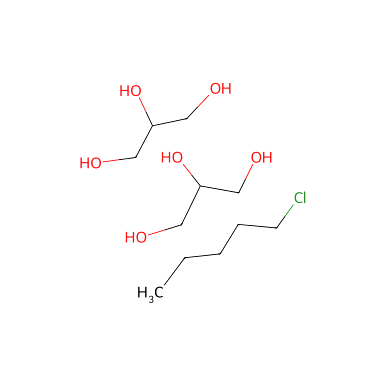 CCCCCCl.OCC(O)CO.OCC(O)CO